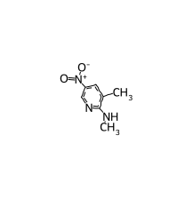 CNc1ncc([N+](=O)[O-])cc1C